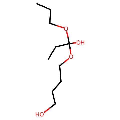 CCCOC(O)(CC)OCCCCO